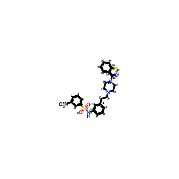 O=[N+]([O-])c1cccc(S(=O)(=O)Nc2cccc(CCN3CCN(c4nsc5ccccc45)CC3)c2)c1